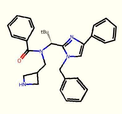 CC(C)(C)[C@H](c1nc(-c2ccccc2)cn1Cc1ccccc1)N(CC1CNC1)C(=O)c1ccccc1